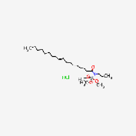 CCCCCCCCC=CCCCCCCCC(=O)N(CCC)[Si](OC)(OC)OC.Cl